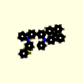 c1ccc(N(c2cccc(-c3ccc4c5ccccc5n(-c5ccc6sc7ccccc7c6c5)c4c3)c2)c2ccc3c(c2)C(c2ccccc2)(c2ccccc2)c2ccccc2-3)cc1